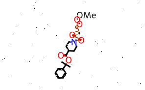 COOOSCS(=O)(=O)N1CCC(C(=O)OC(C)(C)c2ccccc2)CC1